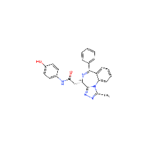 Cc1nnc2n1-c1ccccc1C(c1ccccc1)=N[C@H]2CC(=O)Nc1ccc(O)cc1